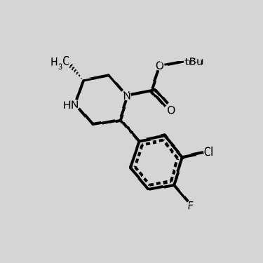 C[C@@H]1CN(C(=O)OC(C)(C)C)C(c2ccc(F)c(Cl)c2)CN1